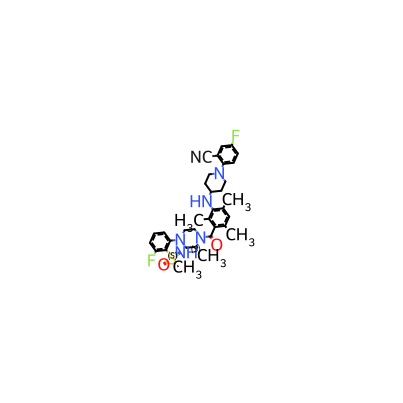 Cc1cc(C)c(C(=O)N2CCN(c3cccc(F)c3[S@@](C)(=N)=O)C[C@@H]2C)c(C)c1NC1CCN(c2ccc(F)cc2C#N)CC1